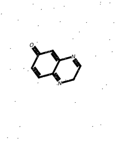 O=C1C=CC2=NCC=NC2=C1